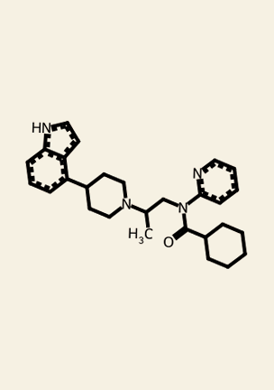 CC(CN(C(=O)C1CCCCC1)c1ccccn1)N1CCC(c2cccc3[nH]ccc23)CC1